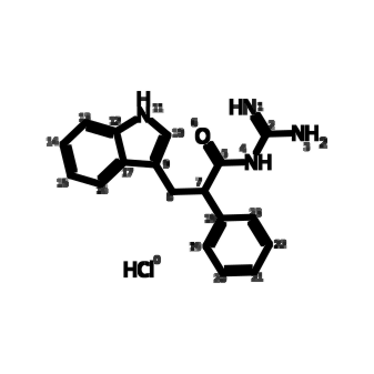 Cl.N=C(N)NC(=O)C(Cc1c[nH]c2ccccc12)c1ccccc1